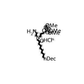 CCCCCCCCCCCCCCCCCC(=O)CN(CCN)CCCO[Si](OOC)(OOC)OOC.Cl